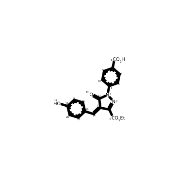 CCOC(=O)C1=NN(c2ccc(C(=O)O)cc2)C(=O)C1=Cc1ccc(O)cc1